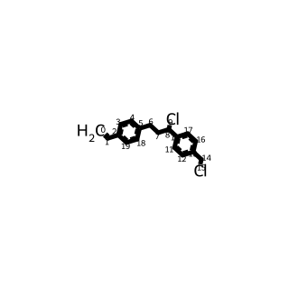 C=Cc1ccc(CCC(Cl)c2ccc(CCl)cc2)cc1